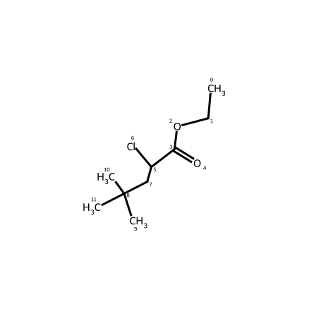 CCOC(=O)C(Cl)CC(C)(C)C